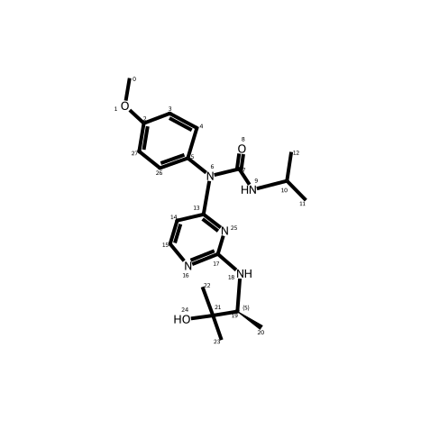 COc1ccc(N(C(=O)NC(C)C)c2ccnc(N[C@@H](C)C(C)(C)O)n2)cc1